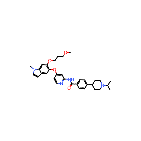 COCCCOc1cc2c(ccn2C)cc1Oc1ccnc(NC(=O)c2ccc(C3CCN(C(C)C)CC3)cc2)c1